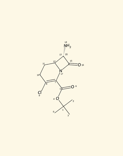 CC(C)(C)OC(=O)C1=C(Cl)CCC2[C@H](N)C(=O)N12